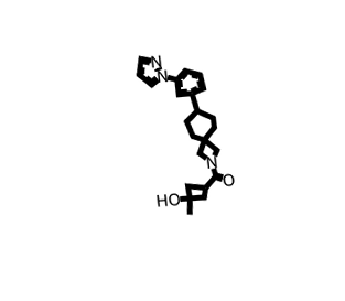 CC1(O)CC(C(=O)N2CC3(CCC(c4cccc(-n5cccn5)c4)CC3)C2)C1